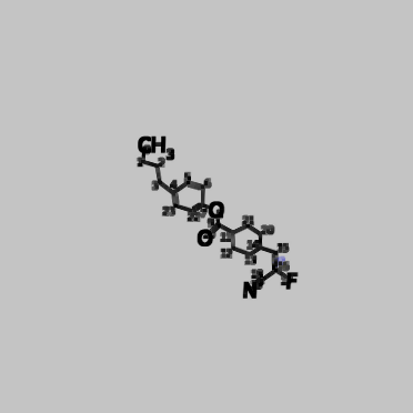 CCCCc1ccc(OC(=O)C2CCC(/C=C(/F)C#N)CC2)cc1